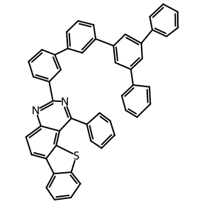 c1ccc(-c2cc(-c3ccccc3)cc(-c3cccc(-c4cccc(-c5nc(-c6ccccc6)c6c(ccc7c8ccccc8sc76)n5)c4)c3)c2)cc1